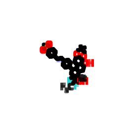 CCC1C2CCC3(O)CC4(CCC3=C2C(c2ccc(/C=C/c3ccc(S(C)(=O)=O)cc3)cc2)CC1(C)C(O)C(F)(F)C(F)(F)F)OCC(C)(C)CO4